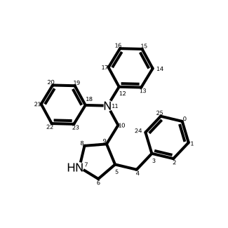 c1ccc(CC2CNCC2CN(c2ccccc2)c2ccccc2)cc1